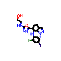 OCCNc1nnc(-c2ccc3cn[nH]c3c2Nc2ccc(I)cc2F)o1